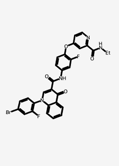 CCNC(=O)c1cc(Oc2ccc(NC(=O)c3cn(-c4ccc(Br)cc4F)c4ccccc4c3=O)cc2F)ccn1